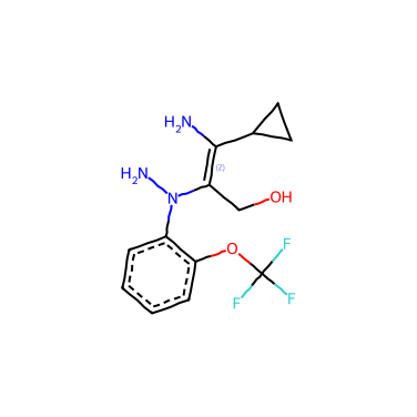 N/C(=C(/CO)N(N)c1ccccc1OC(F)(F)F)C1CC1